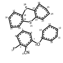 N#Cc1c(F)cccc1Oc1ccccc1.c1ccc2c(c1)Sc1ccccc1S2